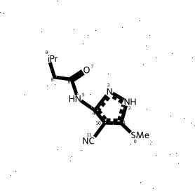 CSc1[nH]nc(NC(=O)CC(C)C)c1C#N